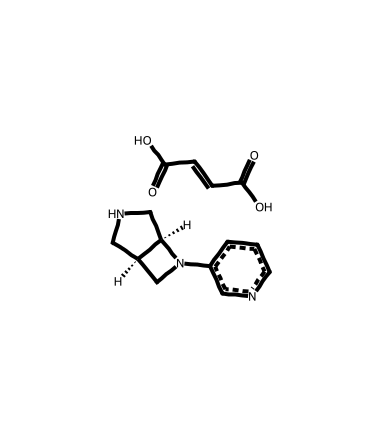 O=C(O)/C=C/C(=O)O.c1cncc(N2C[C@H]3CNC[C@H]32)c1